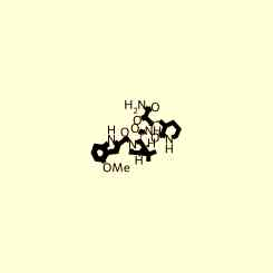 COc1cccc2[nH]c(C(=O)N3C[C@H]4[C@@H]([C@H]3C(=O)N[C@@H](CC3CCCNC3=O)C(=O)C(N)=O)C4(C)C)cc12